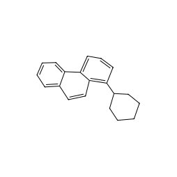 c1ccc2c(c1)ccc1c(C3CCCCC3)cccc12